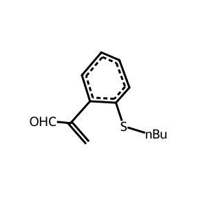 C=C(C=O)c1ccccc1SCCCC